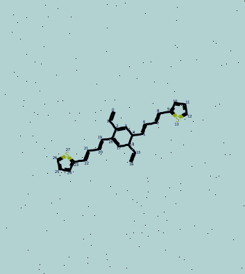 C=CC1=CC(/C=C/C=C/c2cccs2)C(C=C)C=C1/C=C/C=C/c1cccs1